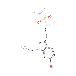 CN(C)S(=O)(=O)NCCc1cn(CC(F)(F)F)c2cc(Br)ccc12